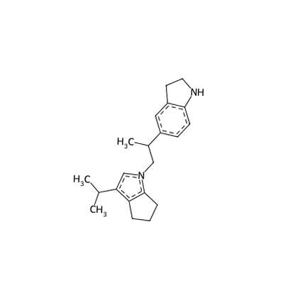 CC(C)c1cn(CC(C)c2ccc3c(c2)CCN3)c2c1CCC2